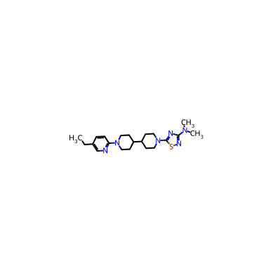 CCc1ccc(N2CCC(C3CCN(c4nc(N(C)C)ns4)CC3)CC2)nc1